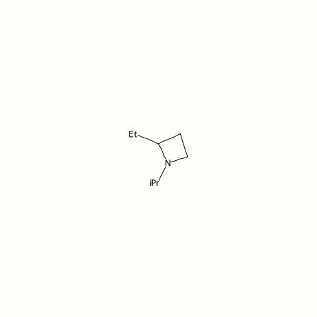 CCC1CCN1C(C)C